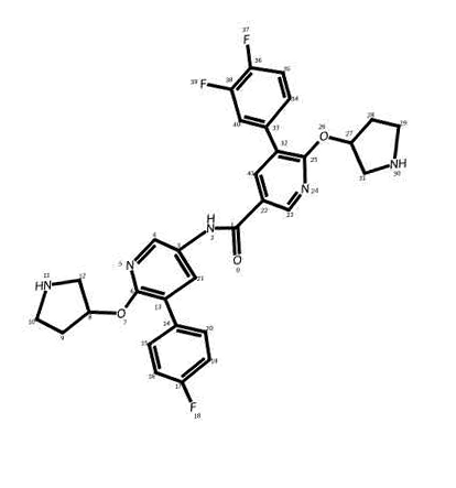 O=C(Nc1cnc(OC2CCNC2)c(-c2ccc(F)cc2)c1)c1cnc(OC2CCNC2)c(-c2ccc(F)c(F)c2)c1